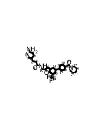 Nc1ccc(C=CC(=O)NCc2cc3cc(-c4ccc(C(=O)N5CCCCC5)cc4)cc(C(F)(F)F)c3o2)cn1